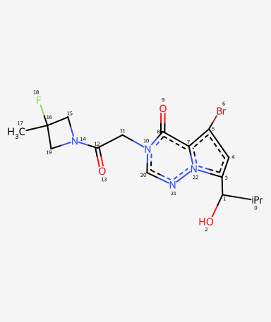 CC(C)C(O)c1cc(Br)c2c(=O)n(CC(=O)N3CC(C)(F)C3)cnn12